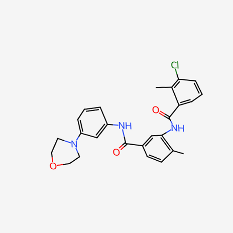 Cc1ccc(C(=O)Nc2cccc(N3CCOCC3)c2)cc1NC(=O)c1cccc(Cl)c1C